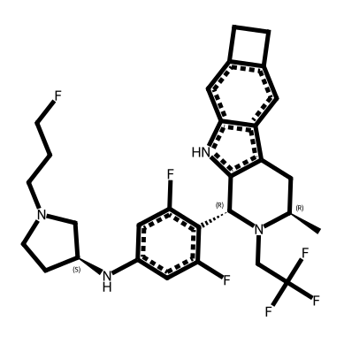 C[C@@H]1Cc2c([nH]c3cc4c(cc23)CC4)[C@@H](c2c(F)cc(N[C@H]3CCN(CCCF)C3)cc2F)N1CC(F)(F)F